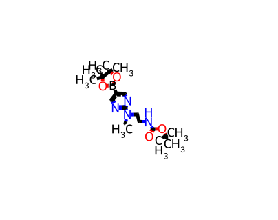 CCN(CCNC(=O)OC(C)(C)C)c1ncc(B2OC(C)(C)C(C)(C)O2)cn1